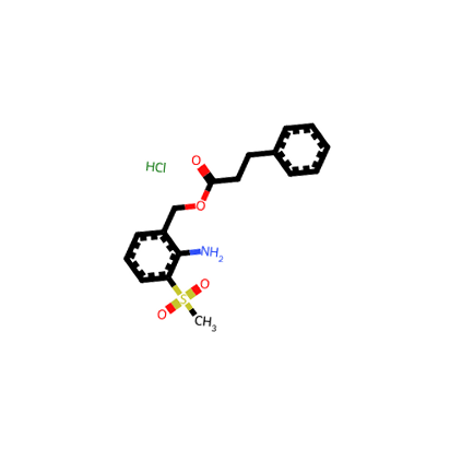 CS(=O)(=O)c1cccc(COC(=O)CCc2ccccc2)c1N.Cl